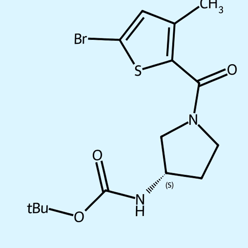 Cc1cc(Br)sc1C(=O)N1CC[C@H](NC(=O)OC(C)(C)C)C1